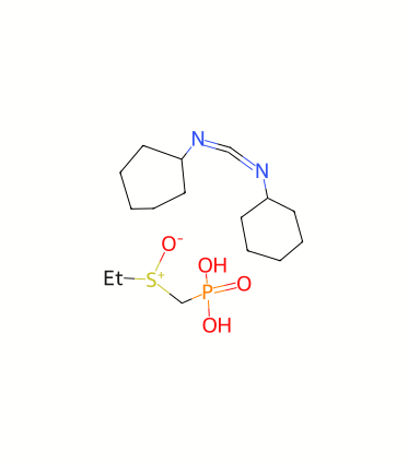 C(=NC1CCCCC1)=NC1CCCCC1.CC[S+]([O-])CP(=O)(O)O